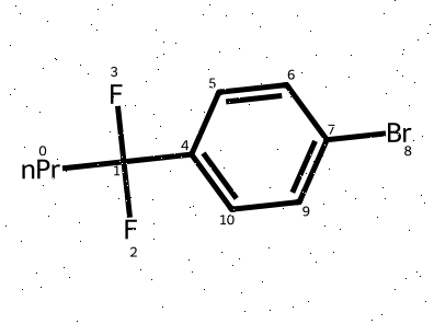 CCCC(F)(F)c1ccc(Br)cc1